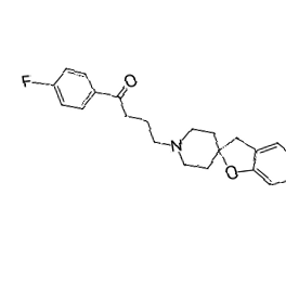 O=C(CCCN1CCC2(CC1)Cc1ccccc1O2)c1ccc(F)cc1